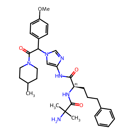 COc1ccc(C(C(=O)N2CCC(C)CC2)n2cnc(NC(=O)[C@@H](CCCc3ccccc3)NC(=O)C(C)(C)N)c2)cc1